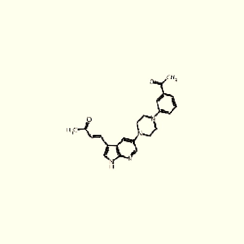 CC(=O)/C=C/c1c[nH]c2ncc(N3CCN(c4cccc(C(C)=O)c4)CC3)cc12